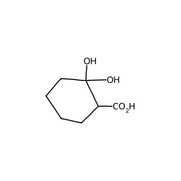 O=C(O)C1CCCCC1(O)O